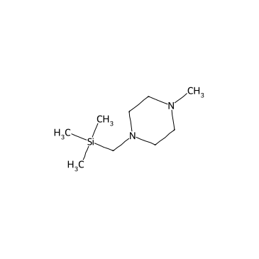 CN1CCN(C[Si](C)(C)C)CC1